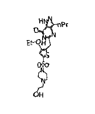 CCCc1n[nH]c2c(=O)[nH]c(Cc3sc(S(=O)(=O)N4CCN(CCO)CC4)cc3OCC)nc12